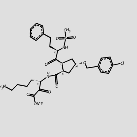 COC(=O)C(=O)[C@H](CCCCN)NC(=O)[C@@H]1C[C@@H](OCc2ccc(Cl)cc2)CN1C(=O)[C@@H](CCc1ccccc1)NS(C)(=O)=O